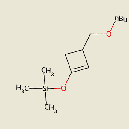 CCCCOCC1C=C(O[Si](C)(C)C)C1